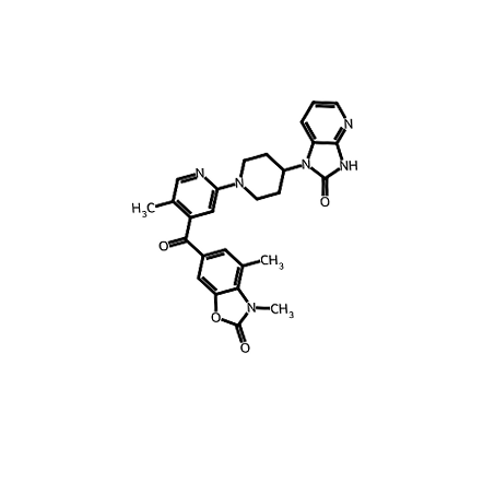 Cc1cnc(N2CCC(n3c(=O)[nH]c4ncccc43)CC2)cc1C(=O)c1cc(C)c2c(c1)oc(=O)n2C